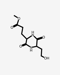 COC(=O)CCC1NC(=O)C(CCO)NC1=O